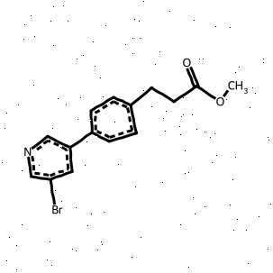 COC(=O)CCc1ccc(-c2cncc(Br)c2)cc1